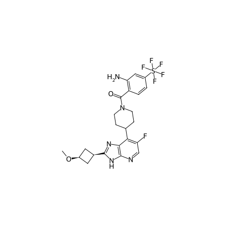 CO[C@H]1C[C@@H](c2nc3c(C4CCN(C(=O)c5ccc(S(F)(F)(F)(F)F)cc5N)CC4)c(F)cnc3[nH]2)C1